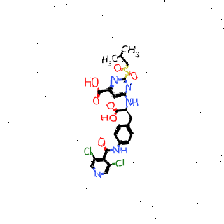 CC(C)CS(=O)(=O)c1nc(N[C@@H](Cc2ccc(NC(=O)c3c(Cl)cncc3Cl)cc2)C(=O)O)cc(C(=O)O)n1